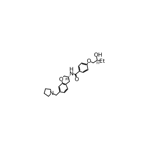 CC[C@H](O)COc1ccc(C(=O)N[C@H]2COc3cc(CN4CCCC4)ccc3C2)cc1